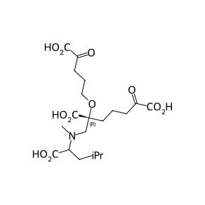 CC(C)CC(C(=O)O)N(C)C[C@@](CCCC(=O)C(=O)O)(OCCCC(=O)C(=O)O)C(=O)O